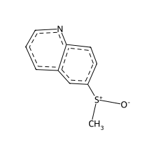 C[S+]([O-])c1ccc2ncccc2c1